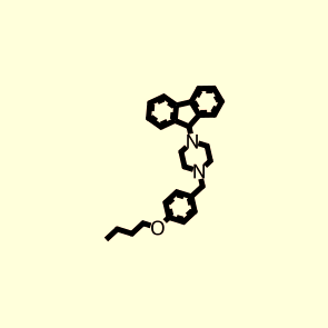 CCCCOc1ccc(CN2CCN(C3c4ccccc4-c4ccccc43)CC2)cc1